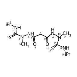 CC(C)NC(=S)N(C)NC(=O)CC(=O)NN(C)C(=S)NC(C)C